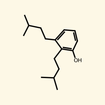 CC(C)CCc1cccc(O)c1CCC(C)C